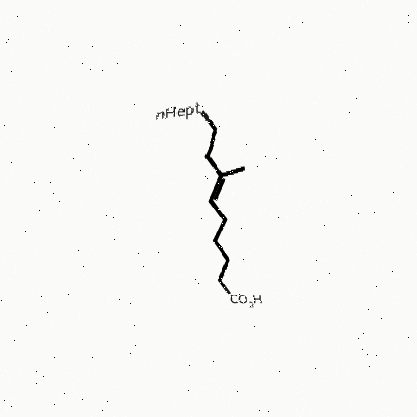 CCCCCCCCC/C(C)=C/CCCCC(=O)O